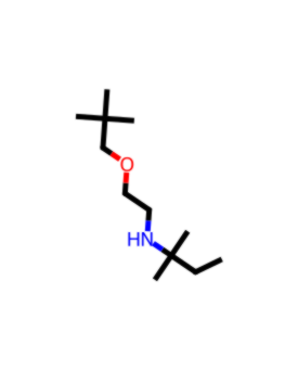 CCC(C)(C)NCCOCC(C)(C)C